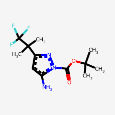 CC(C)(C)OC(=O)n1nc(C(C)(C)C(F)(F)F)cc1N